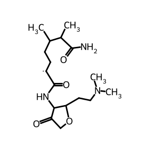 CC(CC[CH]C(=O)NC1C(=O)COC1CCN(C)C)C(C)C(N)=O